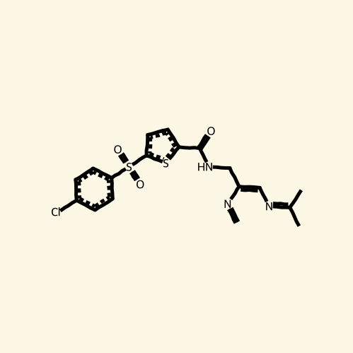 C=N/C(=C\N=C(C)C)CNC(=O)c1ccc(S(=O)(=O)c2ccc(Cl)cc2)s1